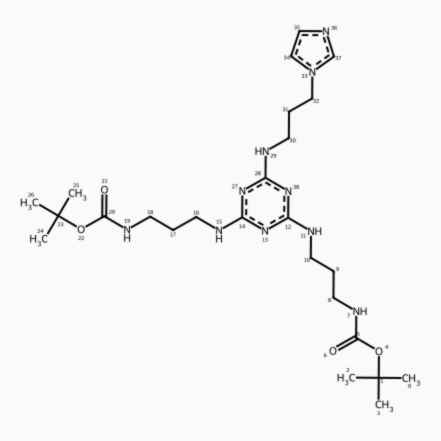 CC(C)(C)OC(=O)NCCCNc1nc(NCCCNC(=O)OC(C)(C)C)nc(NCCCn2ccnc2)n1